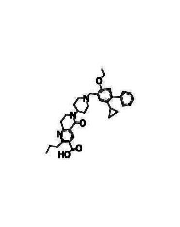 CCCc1nc2c(cc1C(=O)O)C(=O)N(C1CCN(Cc3cc(C4CC4)c(-c4ccccc4)cc3OCC)CC1)CC2